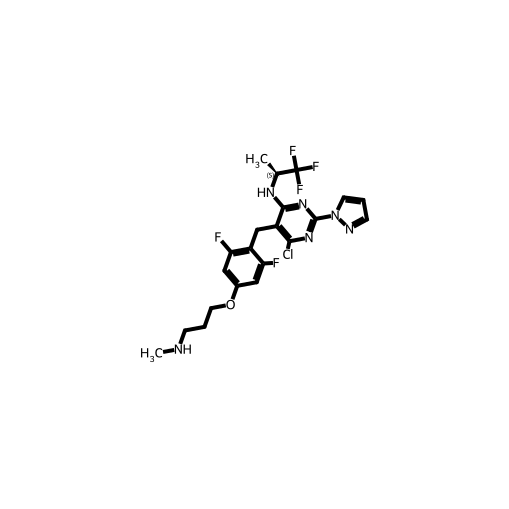 CNCCCOc1cc(F)c(Cc2c(Cl)nc(-n3cccn3)nc2N[C@@H](C)C(F)(F)F)c(F)c1